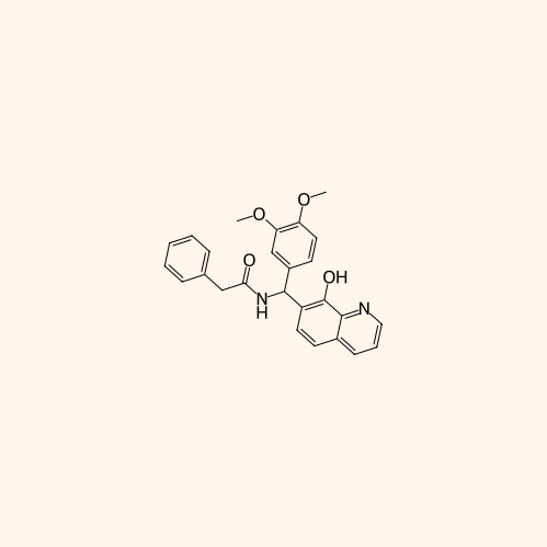 COc1ccc(C(NC(=O)Cc2ccccc2)c2ccc3cccnc3c2O)cc1OC